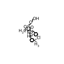 Cc1cccc(COC2Nc3c(c(=O)n(CCOCCO)c(=O)n3C)N2Cc2ccc(Cl)cc2)c1